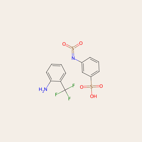 Nc1ccccc1C(F)(F)F.O=S(=O)=Nc1cccc(S(=O)(=O)O)c1